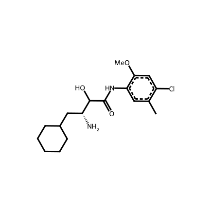 COc1cc(Cl)c(C)cc1NC(=O)C(O)[C@H](N)CC1CCCCC1